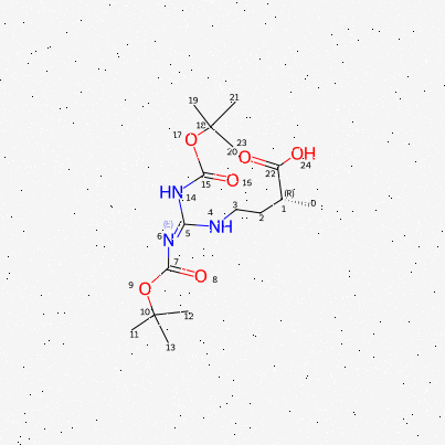 C[C@H](CCN/C(=N\C(=O)OC(C)(C)C)NC(=O)OC(C)(C)C)C(=O)O